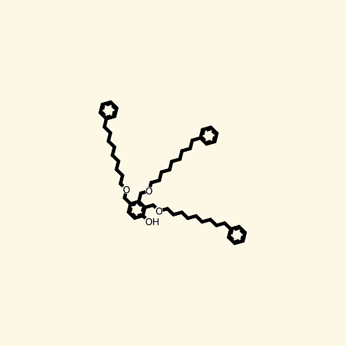 Oc1ccc(COCCCCCCCCCc2ccccc2)c(COCCCCCCCCCc2ccccc2)c1COCCCCCCCCCc1ccccc1